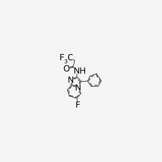 O=C(CC(F)(F)F)Nc1nc2ccc(F)cn2c1-c1ccccc1